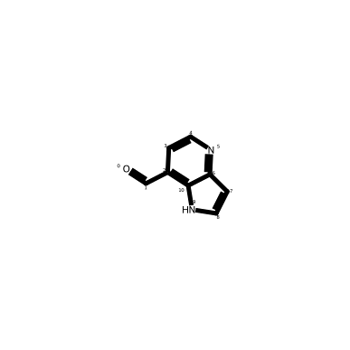 O=[C]c1ccnc2cc[nH]c12